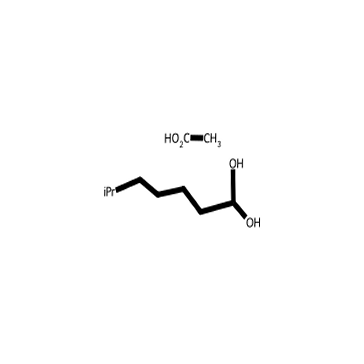 CC(=O)O.CC(C)CCCCC(O)O